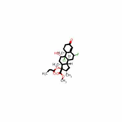 CCC(=O)O[C@]1(C(=O)OC)[C@@H](C)C[C@H]2[C@@H]3C[C@H](F)C4=CC(=O)CC[C@]4(C)[C@@]3(Cl)[C@@H](O)C[C@@]21C